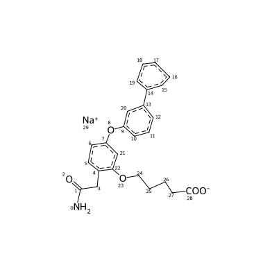 NC(=O)Cc1ccc(Oc2cccc(-c3ccccc3)c2)cc1OCCCCC(=O)[O-].[Na+]